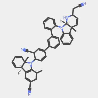 CC1CC(C#N)=CC2=C1N(C1C=CC(c3cccc(-c4ccccc4N4c5ccccc5C5(C)C=CC(CC#N)N[C@@H]45)c3)=CC1C#N)C1(C)C=CC=C[C@H]21